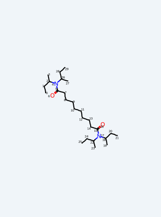 CCC(C)N(C(=O)CCCCCCCCC(=O)N(C(C)CC)C(C)CC)C(C)CC